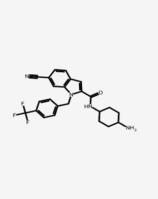 N#Cc1ccc2cc(C(=O)NC3CCC(N)CC3)n(Cc3ccc(C(F)(F)F)cc3)c2c1